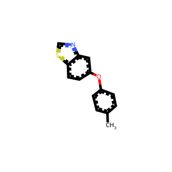 Cc1ccc(Oc2ccc3scnc3c2)cc1